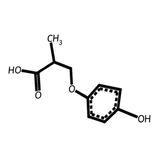 CC(COc1ccc(O)cc1)C(=O)O